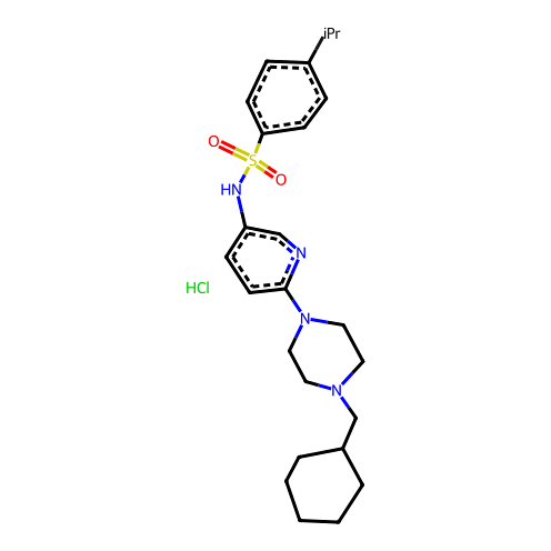 CC(C)c1ccc(S(=O)(=O)Nc2ccc(N3CCN(CC4CCCCC4)CC3)nc2)cc1.Cl